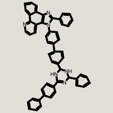 c1ccc(-c2ccc(C3=NC(c4ccccc4)NC(c4ccc(-c5ccc(-n6c(-c7ccccc7)nc7c8ccccc8c8ncccc8c76)cc5)cc4)N3)cc2)cc1